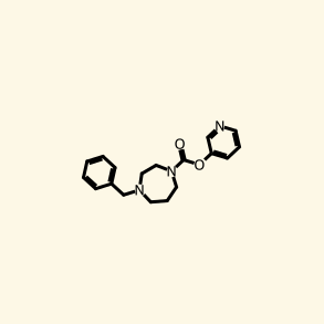 O=C(Oc1cccnc1)N1CCCN(Cc2ccccc2)CC1